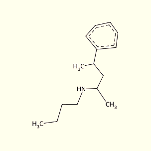 CCCCNC(C)CC(C)c1ccccc1